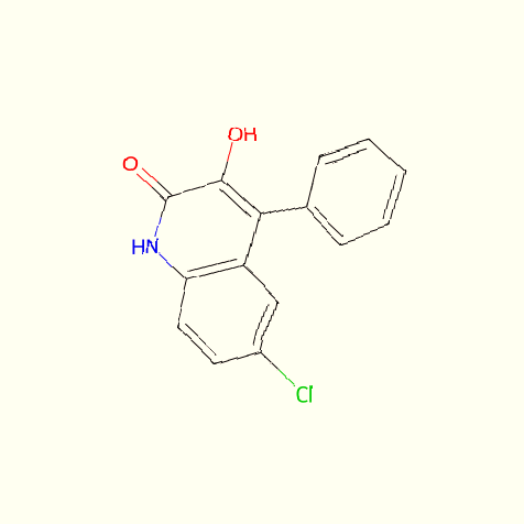 O=c1[nH]c2ccc(Cl)cc2c(-c2ccccc2)c1O